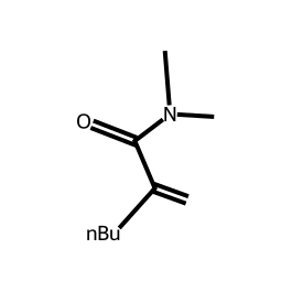 C=C(CCCC)C(=O)N(C)C